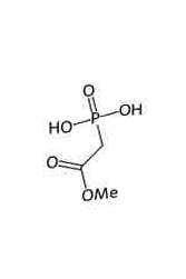 COC(=O)CP(=O)(O)O